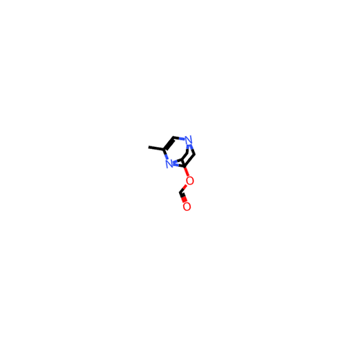 CC1=CN2CCN1C(OC=O)C2